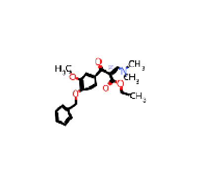 CCOC(=O)/C(=C\N(C)C)C(=O)c1ccc(OCc2ccccc2)c(OC)c1